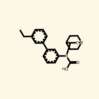 CCc1cccc(-c2cccc(N(C(=O)O)C3CN4CCC3CC4)c2)c1